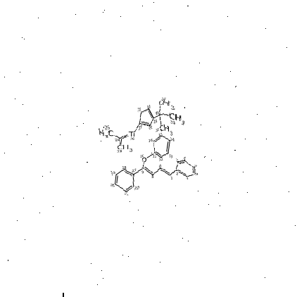 C(=Cc1ccccc1)C=C(Oc1ccccc1)c1ccccc1.C[C](C)=[Ti][C]1=CC(C(C)(C)C)=CC1